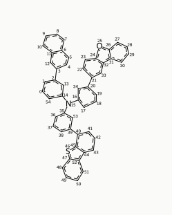 c1cc(-c2ccc3ccccc3c2)cc(N(c2cccc(-c3ccc4oc5ccccc5c4c3)c2)c2cccc(-c3cccc4c3sc3ccccc34)c2)c1